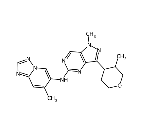 Cc1cc2ncnn2cc1Nc1ncc2c(n1)c(C1CCOCC1C)nn2C